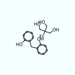 CCC(CO)(CO)CO.Oc1ccccc1Cc1ccccc1O